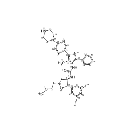 COCCN1C[C@@H](NC(=O)Nc2c(C)c(-c3cnc(N4CCNCC4)nc3)nn2-c2ccccc2)[C@H](c2cc(F)nc(F)c2)O1